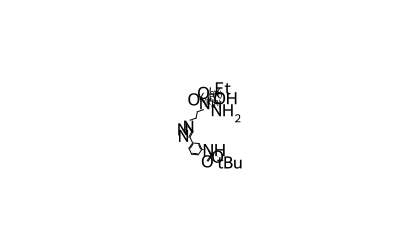 CC[C@@H](O)[C@@]1(C)OC(=O)N(CCCCn2cc(-c3cccc(NC(=O)OC(C)(C)C)c3)nn2)[C@@H]1[C@@H](C)N